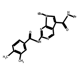 Cc1ccc(C(=O)Nc2ncc3c(C(=O)NC(C)C)cn(C(C)(C)C)c3n2)cc1C